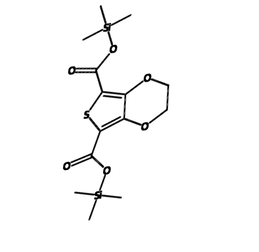 C[Si](C)(C)OC(=O)c1sc(C(=O)O[Si](C)(C)C)c2c1OCCO2